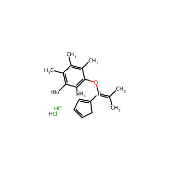 C[C](C)=[Ti]([O]c1c(C)c(C)c(C)c(C(C)(C)C)c1[SiH3])[C]1=CC=CC1.Cl.Cl